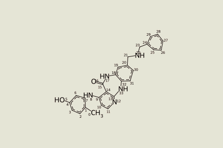 Cc1ccc(O)cc1Nc1ccnc2c1C(=O)Nc1cc(CNCc3ccccc3)ccc1N2